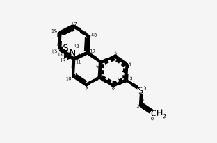 C=CSc1ccc2c(c1)C=CC13N=CSC1C=CC=C23